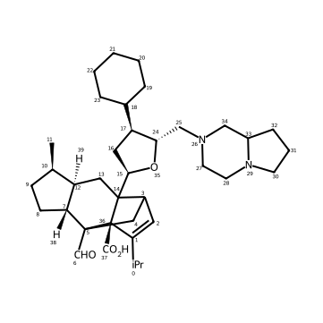 CC(C)C1=CC2CC3(C=O)[C@@H]4CC[C@@H](C)[C@H]4CC2([C@H]2C[C@@H](C4CCCCC4)[C@H](CN4CCN5CCCC5C4)O2)[C@]13C(=O)O